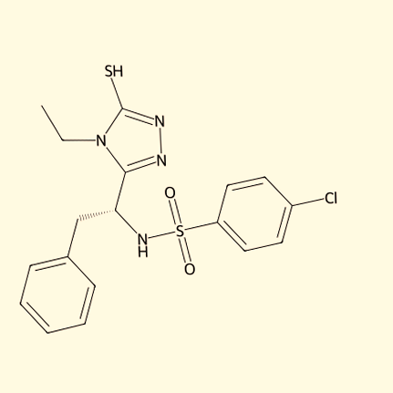 CCn1c(S)nnc1[C@@H](Cc1ccccc1)NS(=O)(=O)c1ccc(Cl)cc1